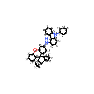 c1ccc(-n2c3ccccc3c3c(Nc4ccc5c(c4)Oc4ccccc4C54c5ccccc5-c5ccccc54)cccc32)cc1